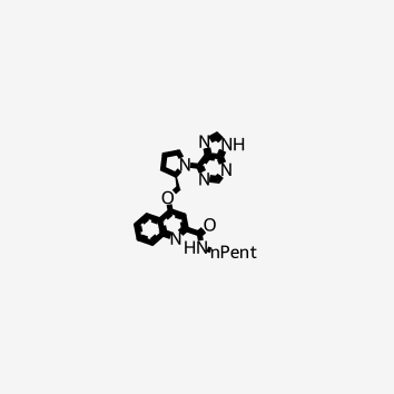 CCCCCNC(=O)c1cc(OC[C@H]2CCCN2c2ncnc3[nH]cnc23)c2ccccc2n1